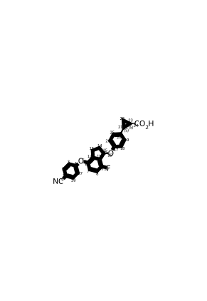 N#Cc1ccc(Oc2ccc(F)c3c2CC[C@H]3Oc2ccc([C@H]3C[C@@H]3C(=O)O)cc2)cc1